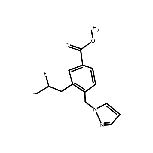 COC(=O)c1ccc(Cn2cccn2)c(CC(F)F)c1